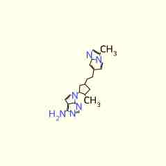 Cc1cnc2cc(CCC3CC(C)C(n4ccc5c(N)ncnc54)C3)ccn12